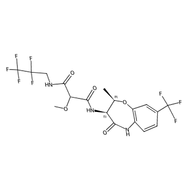 COC(C(=O)NCC(F)(F)C(F)(F)F)C(=O)N[C@@H]1C(=O)Nc2ccc(C(F)(F)F)cc2O[C@@H]1C